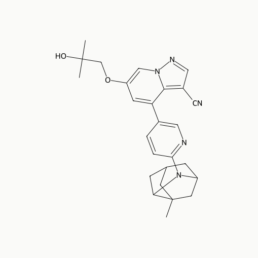 CC(C)(O)COc1cc(-c2ccc(N3C4CC5CC3C(C)(C5)C4)nc2)c2c(C#N)cnn2c1